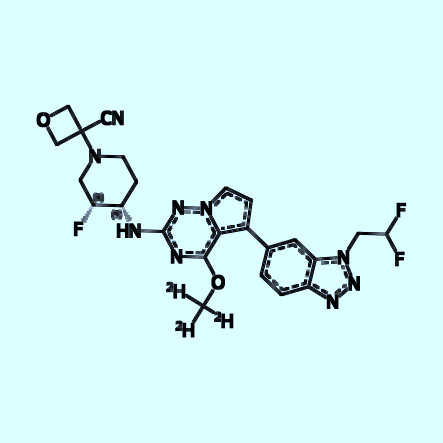 [2H]C([2H])([2H])Oc1nc(N[C@H]2CCN(C3(C#N)COC3)C[C@H]2F)nn2ccc(-c3ccc4nnn(CC(F)F)c4c3)c12